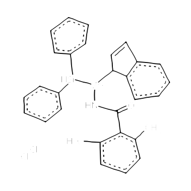 Cc1cccc(C)c1C(=O)[NH][Zr+2]([CH]1C=Cc2ccccc21)[SiH](c1ccccc1)c1ccccc1.[Cl-].[Cl-]